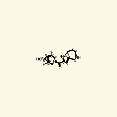 O=C(c1cc2n(n1)CCCNC2)N1C[C@@H]2C[C@H](C1)[C@H](O)C2